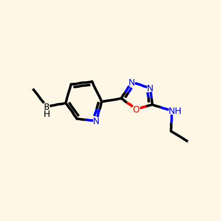 CBc1ccc(-c2nnc(NCC)o2)nc1